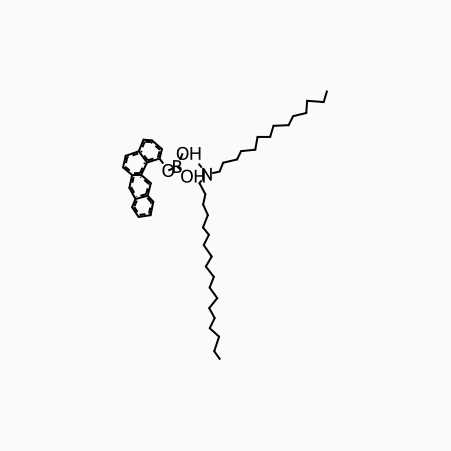 CCCCCCCCCCCCCCCCCCN(C)CCCCCCCCCCCCCC.OB(O)Oc1cccc2ccc3cc4ccccc4cc3c12